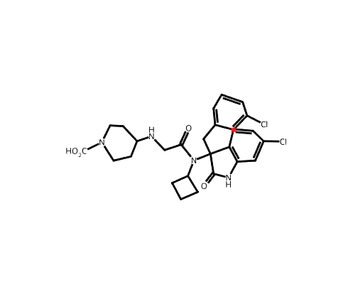 O=C(O)N1CCC(NCC(=O)N(C2CCC2)C2(Cc3cccc(Cl)c3)C(=O)Nc3cc(Cl)ccc32)CC1